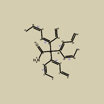 C=C/C=C(\C=C/C)C(C(N)=O)(/C(C=C)=C/C=C\C)C(/C=C\C)=C/C=C